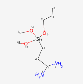 CCCO[Si](CCC(N)N)(OC)OC